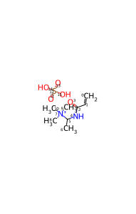 C=CC(=O)NC(C)[N+](C)(C)C.O=S(=O)(O)O